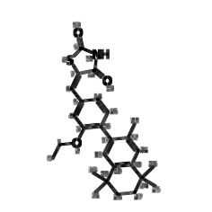 CCOc1cc(C=C2SC(=O)NC2=O)ccc1-c1cc2c(cc1C)C(C)(C)CCC2(C)C